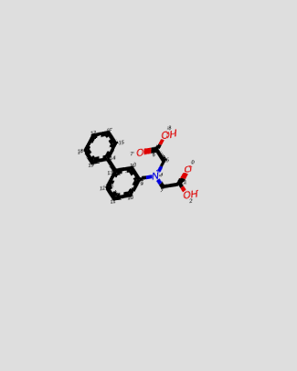 O=C(O)CN(CC(=O)O)c1cccc(-c2ccccc2)c1